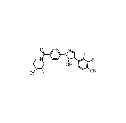 CCN1CCN(C(=O)c2ccc(N3N=CC(c4ccc(C#N)c(F)c4C)C3O)nc2)C[C@@H]1C